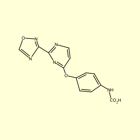 O=C(O)Nc1ccc(Oc2ccnc(-c3ncon3)n2)cc1